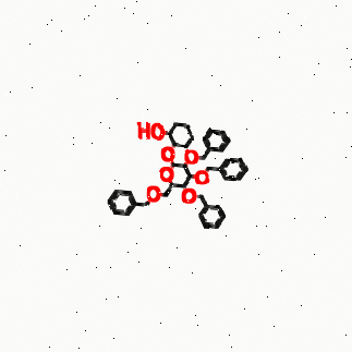 O[C@H]1CCCC[C@@H]1O[C@@H]1O[C@H](COCc2ccccc2)[C@@H](OCc2ccccc2)[C@H](OCc2ccccc2)[C@@H]1OCc1ccccc1